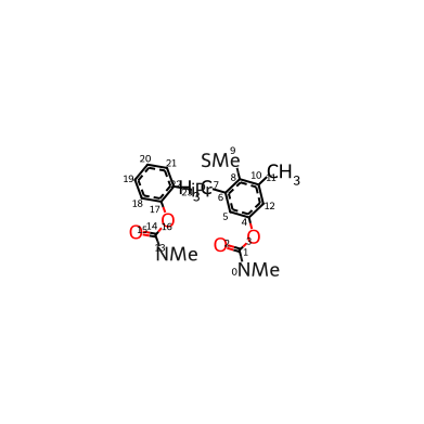 CNC(=O)Oc1cc(C)c(SC)c(C)c1.CNC(=O)Oc1ccccc1C(C)C